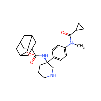 CN(C(=O)C1CC1)c1ccc([C@@]2(NC(=O)C34CC5CC(C3)C(O)C(C5)C4)CCCNC2)cc1